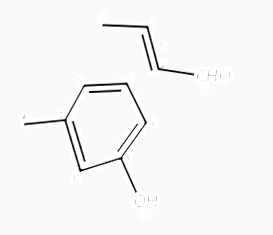 C/C=C/C=O.Cc1cccc(O)c1